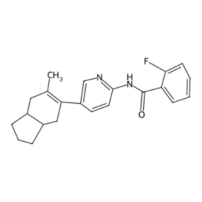 CC1=C(c2ccc(NC(=O)c3ccccc3F)nc2)CC2CCCC2C1